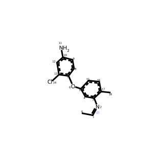 C/C=N\c1cc(Oc2ccc(N)cc2Cl)ccc1C